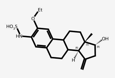 C=C1C[C@@H](O)[C@@]2(C)CCC3c4cc(OCC)c(NS(=O)(=O)O)cc4CCC3[C@H]12